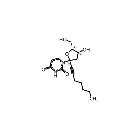 CCCCCC#C[C@]1(n2ccc(=O)[nH]c2=O)C[C@H](O)[C@@H](CO)O1